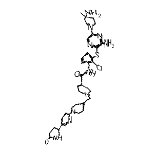 CC1(N)CCN(c2cnc(Sc3cccc(NC(=O)C4CCN(CC5CCN(c6ccc(C7CCC(=O)NC7)cn6)CC5)CC4)c3Cl)c(N)n2)CC1